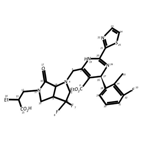 CCOC(=O)C1=C(CN2CC(F)(F)C3CN(CC(CC)C(=O)O)C(=O)C32)NC(c2nccs2)=N[C@H]1c1cccc(F)c1C